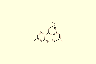 Cc1ccc(C(CN)c2ccc(C)cc2F)c(F)c1